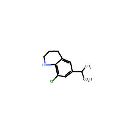 CC(C(=O)O)c1cc(Cl)c2c(c1)CCCN2